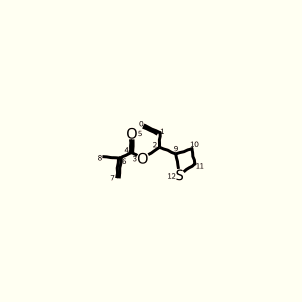 C=CC(OC(=O)C(=C)C)C1CCS1